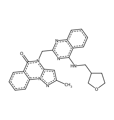 Cc1cc2n(Cc3nc(NCC4CCOC4)c4ccccc4n3)c(=O)c3ccccc3n2n1